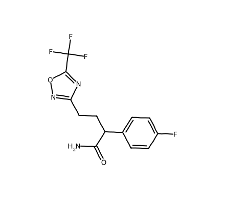 NC(=O)C(CCc1noc(C(F)(F)F)n1)c1ccc(F)cc1